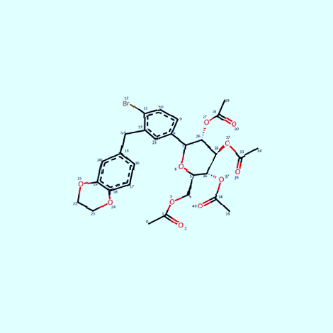 CC(=O)OC[C@H]1OC(c2ccc(Br)c(Cc3ccc4c(c3)OCCO4)c2)[C@H](OC(C)=O)[C@@H](OC(C)=O)[C@@H]1OC(C)=O